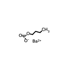 CCCCOP([O-])[O-].[Ba+2]